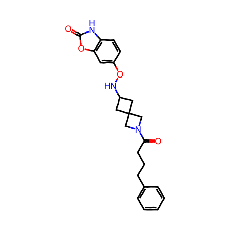 O=C(CCCc1ccccc1)N1CC2(CC(NOc3ccc4[nH]c(=O)oc4c3)C2)C1